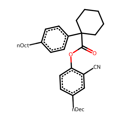 CCCCCCCCCCc1ccc(OC(=O)C2(c3ccc(CCCCCCCC)cc3)CCCCC2)c(C#N)c1